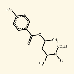 CCCc1ccc(C(=O)OC(C)CC(C)N(CC)C(=O)OCC)cc1